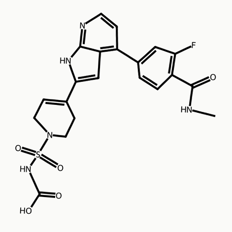 CNC(=O)c1ccc(-c2ccnc3[nH]c(C4=CCN(S(=O)(=O)NC(=O)O)CC4)cc23)cc1F